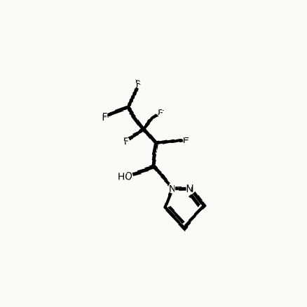 OC(C(F)C(F)(F)C(F)F)n1cccn1